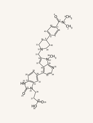 CN(C)C(=O)c1ccc(C2CCN(Cc3cc4c(-c5ccc6[nH]c(=O)n(CCC(=O)O)c6c5)ccnc4n3C)CC2)cc1